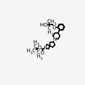 CC(C)(O)COc1ccccc1C1CCN([C@@H]2CCC3(C2)CN(C(=O)OC(C)(C)C)C3)CC1